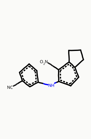 N#Cc1cccc(Nc2ccc3c(c2[N+](=O)[O-])CCC3)c1